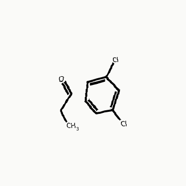 CCC=O.Clc1cccc(Cl)c1